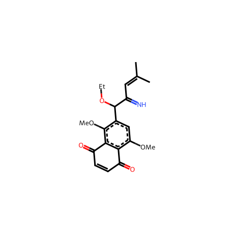 CCOC(C(=N)C=C(C)C)c1cc(OC)c2c(c1OC)C(=O)C=CC2=O